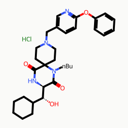 CCCCN1C(=O)[C@@H]([C@H](O)C2CCCCC2)NC(=O)C12CCN(Cc1ccc(Oc3ccccc3)nc1)CC2.Cl